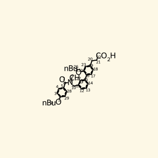 CCCCOc1ccc(C(=O)N(C)Cc2cccc(-c3ccc(CCC(=O)O)cc3OCCCC)c2)cc1